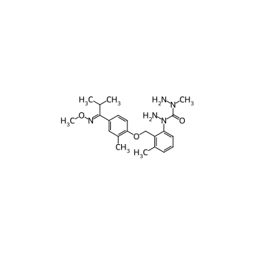 CON=C(c1ccc(OCc2c(C)cccc2N(N)C(=O)N(C)N)c(C)c1)C(C)C